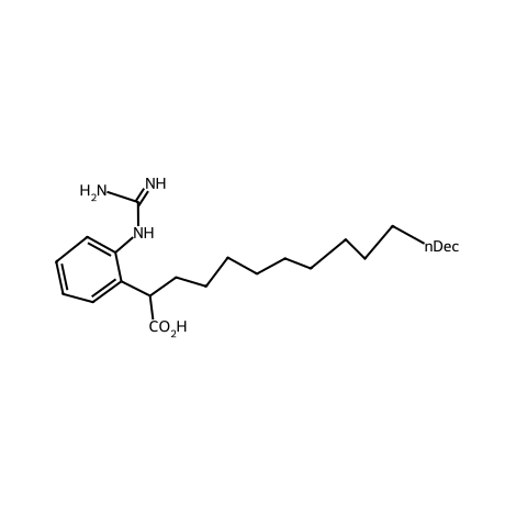 CCCCCCCCCCCCCCCCCCCC(C(=O)O)c1ccccc1NC(=N)N